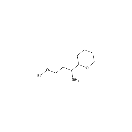 [CH2]COCCC([SiH3])C1CCCCO1